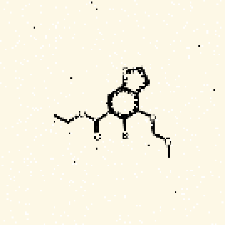 CCOC(=O)c1cc2sccc2c(OCOC)c1Br